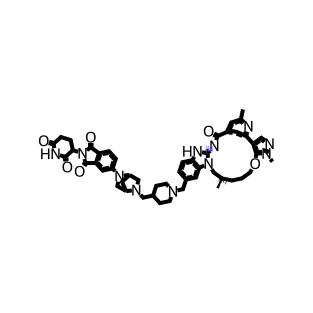 Cc1cc2cc(n1)-c1cnn(C)c1OCCC[C@@H](C)CN1/C(=N/C2=O)Nc2ccc(CN3CCC(CN4CC5CC4CN5c4ccc5c(c4)C(=O)N(C4CCC(=O)NC4=O)C5=O)CC3)cc21